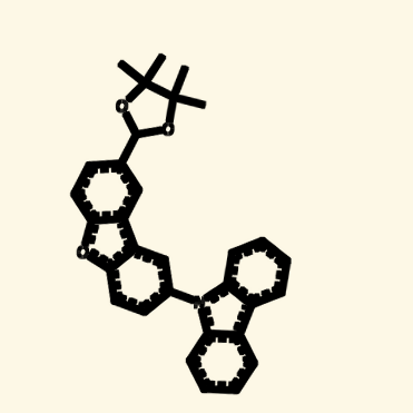 CC1(C)OC(c2ccc3oc4ccc(-n5c6ccccc6c6ccccc65)cc4c3c2)OC1(C)C